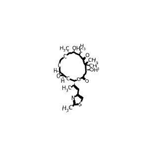 C/C(=C\c1csc(C)n1)[C@@H]1C[C@H]2O[C@H]2CCC[C@H](C)[C@H](O)[C@@H](C)C(=O)C(C)(C)[C@@H](O)CC(=O)O1